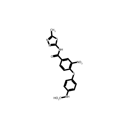 Cc1nnc(NC(=O)c2ccc(Sc3ccc(NC(=O)O)cc3)c([N+](=O)[O-])c2)s1